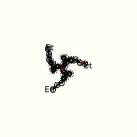 CCOCCOCCOc1ccc(-n2c3ccccc3c3cc(N(c4ccc5c(c4)c4ccccc4n5-c4ccc(OCCOCCOCC)cc4)c4ccc5c(c4)c4ccccc4n5-c4ccc(OCCOCCOCC)cc4)ccc32)cc1